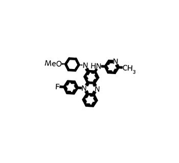 CO[C@H]1CC[C@H](/N=c2\cc3n(-c4ccc(F)cc4)c4ccccc4nc-3cc2Nc2ccc(C)nc2)CC1